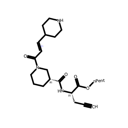 C#CC[C@H](NC(=O)[C@@H]1CCCN(C(=O)/C=C/C2CCNCC2)C1)C(=O)OCCCCC